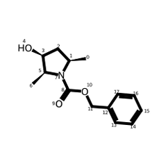 C[C@@H]1C[C@H](O)[C@H](C)N1C(=O)OCc1ccccc1